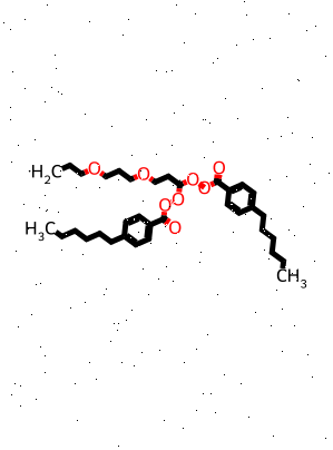 [CH2]CCOCCCOCC[C](OOC(=O)c1ccc(CCCCCC)cc1)OOC(=O)c1ccc(CCCCCC)cc1